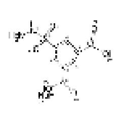 NNS(=O)(=O)c1cc(C(=O)O)cc(C(=O)O)c1.[NaH]